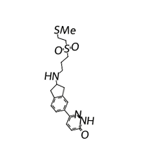 CSCCS(=O)(=O)CCCNC1Cc2ccc(-c3ccc(=O)[nH]n3)cc2C1